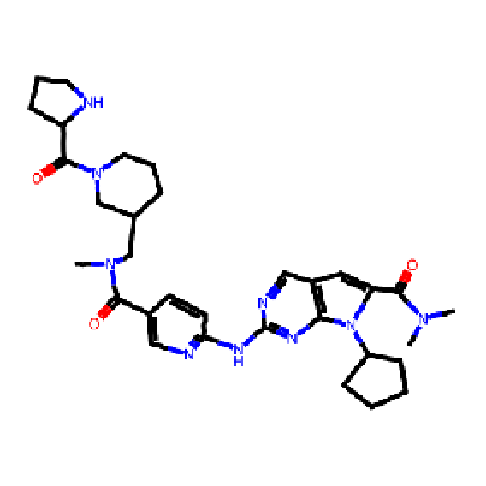 CN(C)C(=O)c1cc2cnc(Nc3ccc(C(=O)N(C)CC4CCCN(C(=O)C5CCCN5)C4)cn3)nc2n1C1CCCC1